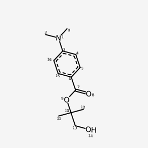 CN(C)c1ccc(C(=O)OC(C)(C)CO)cc1